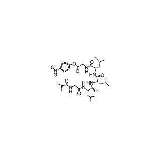 C=C(C)C(=O)NCC(=O)N[C@@H](CC(C)C)C(=O)N[C@@H](CC(C)C)C(=O)N[C@@H](CC(C)C)C(=O)NCC(=O)Oc1ccc([N+](=O)[O-])cc1